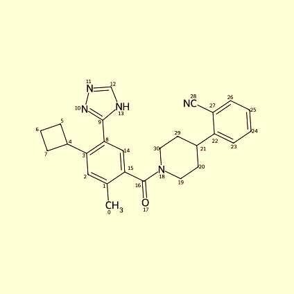 Cc1cc(C2CCC2)c(-c2nnc[nH]2)cc1C(=O)N1CCC(c2ccccc2C#N)CC1